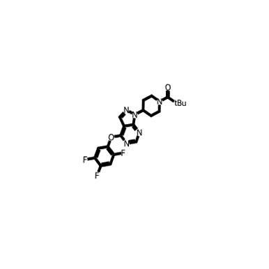 CC(C)(C)C(=O)N1CCC(n2ncc3c(Oc4cc(F)c(F)cc4F)ncnc32)CC1